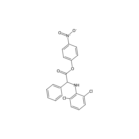 O=C(Oc1ccc([N+](=O)[O-])cc1)C(Nc1c(Cl)cccc1Cl)c1ccccc1